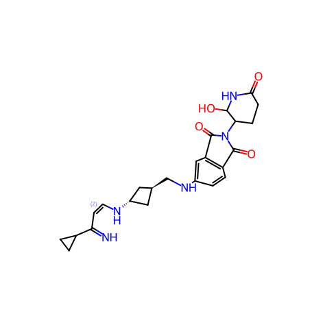 N=C(/C=C\N[C@H]1C[C@H](CNc2ccc3c(c2)C(=O)N(C2CCC(=O)NC2O)C3=O)C1)C1CC1